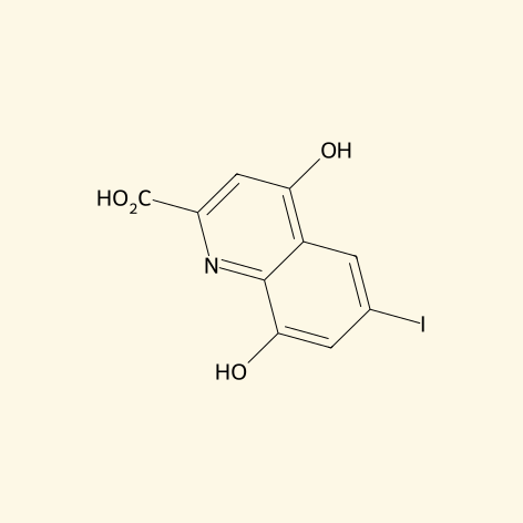 O=C(O)c1cc(O)c2cc(I)cc(O)c2n1